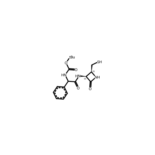 CC(C)(C)OC(=O)NC(C(=O)N[C@@H]1C(=O)N[C@@H]1CS)c1ccccc1